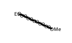 CCOCCOCCOCCOCCOCCOCCOCCOCCOCCOCCOCCOC